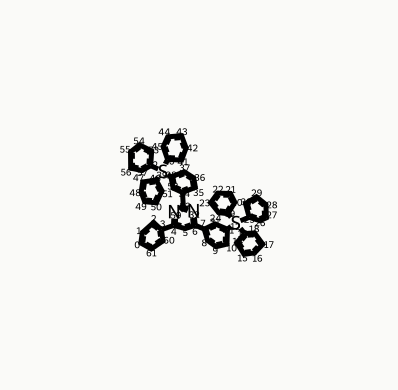 c1ccc(-c2cc(-c3cccc(S(c4ccccc4)(c4ccccc4)c4ccccc4)c3)nc(-c3cccc(S(c4ccccc4)(c4ccccc4)c4ccccc4)c3)n2)cc1